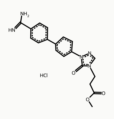 COC(=O)CCn1cnn(-c2ccc(-c3ccc(C(=N)N)cc3)cc2)c1=O.Cl